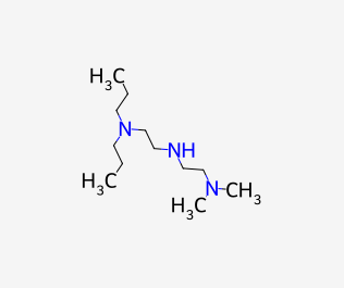 CCCN(CCC)CCNCCN(C)C